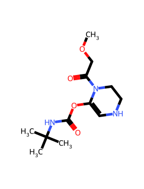 COCC(=O)N1CCNC=C1OC(=O)NC(C)(C)C